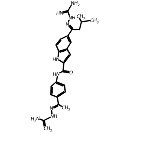 C=C(N)N/N=C(\C)c1ccc(NC(=O)c2cc3cc(C(CC(C)C)=NNC(=N)N)ccc3[nH]2)cc1